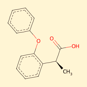 C[C@H](C(=O)O)c1ccccc1Oc1ccccc1